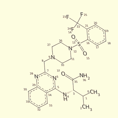 CC(C)[C@H](Nc1nc(CN2CCN(S(=O)(=O)c3ccccc3C(F)(F)F)CC2)nc2ccccc12)C(N)=O